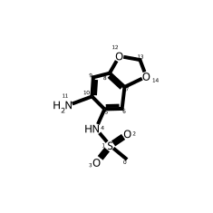 CS(=O)(=O)Nc1cc2c(cc1N)OCO2